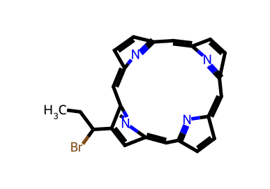 CCC(Br)C1=CC2=CC3=NC(=CC4=NC(=CC5=NC(=CC1=N2)C=C5)C=C4)C=C3